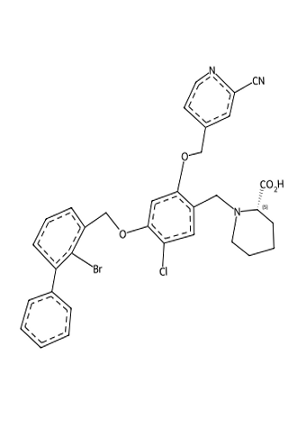 N#Cc1cc(COc2cc(OCc3cccc(-c4ccccc4)c3Br)c(Cl)cc2CN2CCCC[C@H]2C(=O)O)ccn1